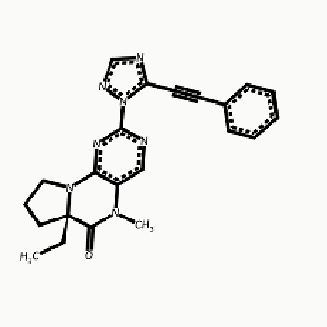 CC[C@@]12CCCN1c1nc(-n3ncnc3C#Cc3ccccc3)ncc1N(C)C2=O